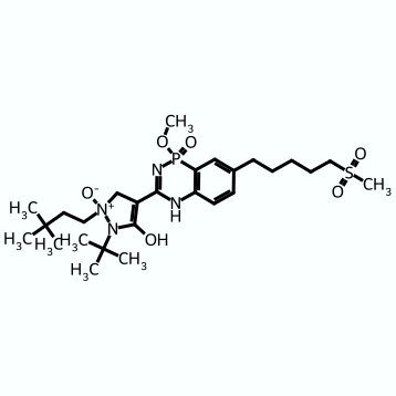 COP1(=O)N=C(C2=C(O)N(C(C)(C)C)[N+]([O-])(CCC(C)(C)C)C2)Nc2ccc(CCCCCS(C)(=O)=O)cc21